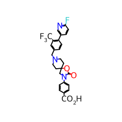 O=C(O)c1ccc(N2CC3(CCN(Cc4ccc(-c5ccc(F)nc5)c(C(F)(F)F)c4)CC3)OC2=O)cc1